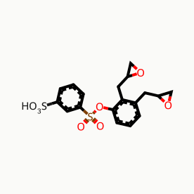 O=S(=O)(O)c1cccc(S(=O)(=O)Oc2cccc(CC3CO3)c2CC2CO2)c1